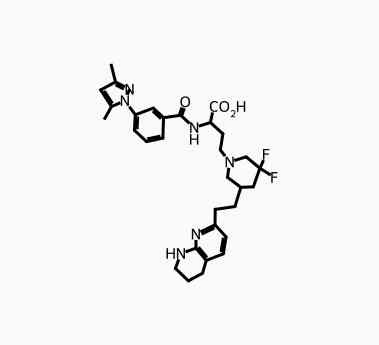 Cc1cc(C)n(-c2cccc(C(=O)NC(CCN3CC(CCc4ccc5c(n4)NCCC5)CC(F)(F)C3)C(=O)O)c2)n1